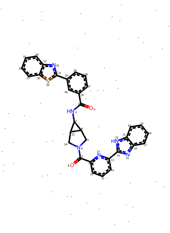 O=C(NC1C2CN(C(=O)c3cccc(-c4nc5ccccc5[nH]4)n3)CC21)c1cccc(-c2nc3ccccc3s2)c1